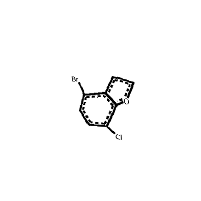 Clc1ccc(Br)c2ccoc12